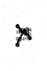 CCCCC(NC(=O)C(CCCCNC(=O)OCc1ccccc1)NC(=O)OCc1ccccc1)P(=O)(O)OC(C)C(=O)OC(=O)[C@@H]1CCCN1